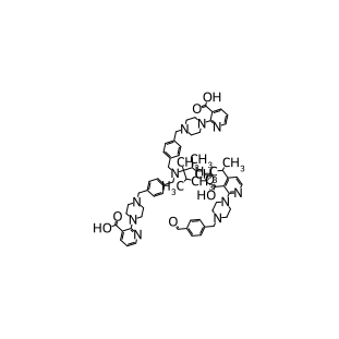 CC(C)C(C)(C(C)C)N(Cc1ccc(CN2CCN(c3ncccc3C(=O)O)CC2)cc1)Cc1ccc(CN2CCN(c3ncccc3C(=O)O)CC2)cc1.CC(C)c1ccnc(N2CCN(Cc3ccc(C=O)cc3)CC2)c1C(=O)O